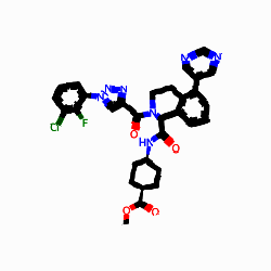 COC(=O)[C@H]1CC[C@@H](NC(=O)C2c3cccc(-c4cncnc4)c3CCN2C(=O)c2cn(-c3cccc(Cl)c3F)nn2)CC1